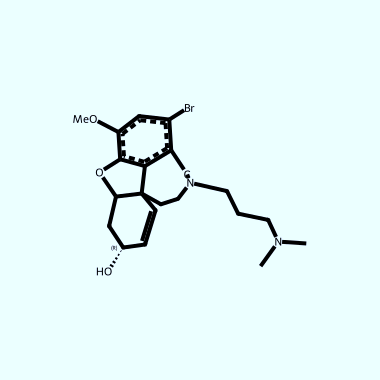 COc1cc(Br)c2c3c1OC1C[C@@H](O)C=CC31CCN(CCCN(C)C)C2